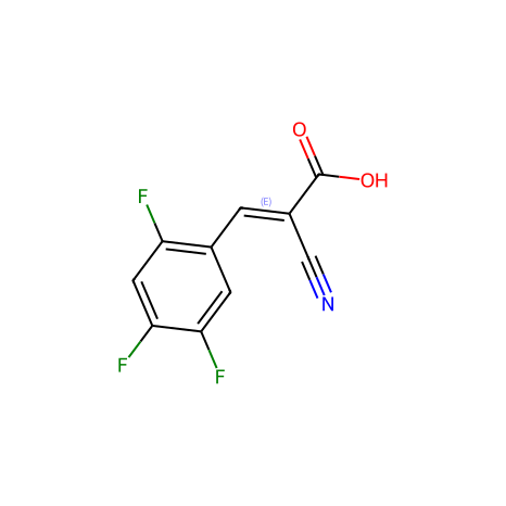 N#C/C(=C\c1cc(F)c(F)cc1F)C(=O)O